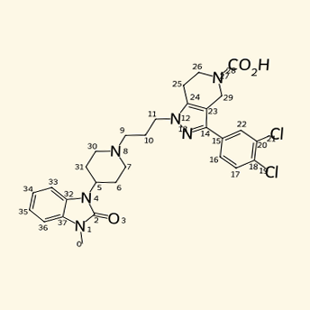 Cn1c(=O)n(C2CCN(CCCn3nc(-c4ccc(Cl)c(Cl)c4)c4c3CCN(C(=O)O)C4)CC2)c2ccccc21